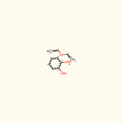 C=COC=C.Oc1ccccc1O